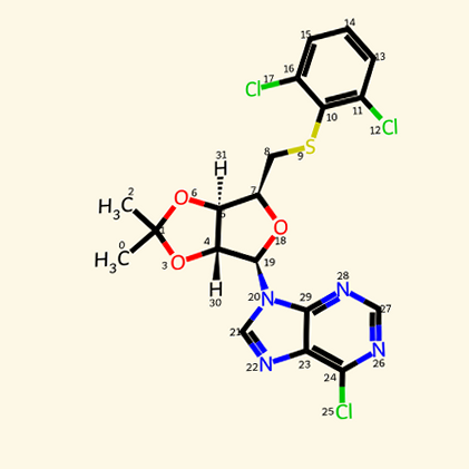 CC1(C)O[C@@H]2[C@@H](O1)[C@@H](CSc1c(Cl)cccc1Cl)O[C@H]2n1cnc2c(Cl)ncnc21